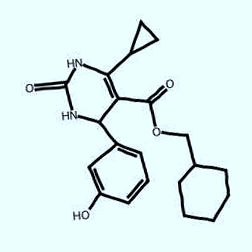 O=C1NC(C2CC2)=C(C(=O)OCC2CCCCC2)C(c2cccc(O)c2)N1